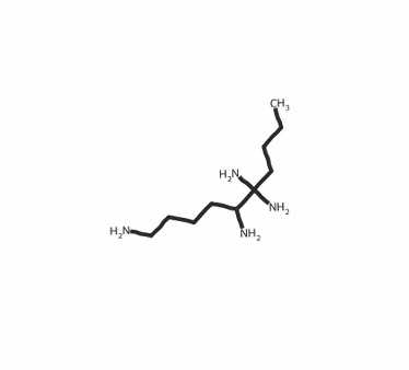 CCCCC(N)(N)C(N)CCCCN